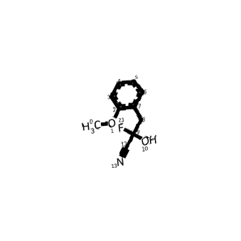 COc1ccccc1CC(O)(F)C#N